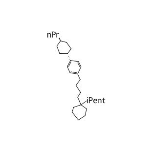 CCCC(C)C1(CCCCc2ccc([C@H]3CC[C@H](CCC)CC3)cc2)CCCCC1